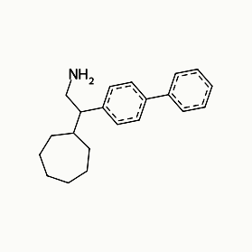 NCC(c1ccc(-c2ccccc2)cc1)C1CCCCCC1